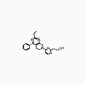 CCc1nc2c(c(-c3ccccc3)n1)CCN(c1ccnc(CCO)n1)C2